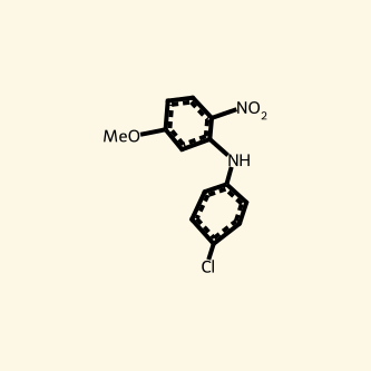 COc1ccc([N+](=O)[O-])c(Nc2ccc(Cl)cc2)c1